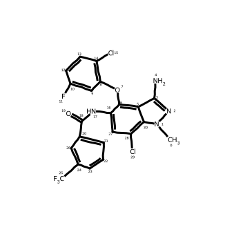 Cn1nc(N)c2c(Oc3cc(F)ccc3Cl)c(NC(=O)c3cccc(C(F)(F)F)c3)cc(Cl)c21